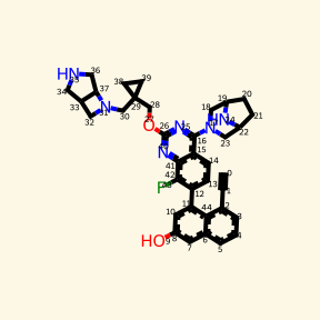 C#Cc1cccc2cc(O)cc(-c3ccc4c(N5CC6CCC(C5)N6)nc(OCC5(CN6CC7CNCC76)CC5)nc4c3F)c12